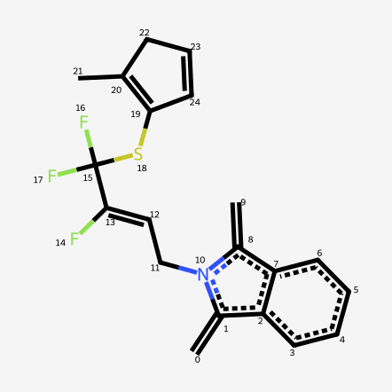 C=c1c2ccccc2c(=C)n1C/C=C(\F)C(F)(F)SC1=C(C)CC=C1